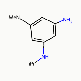 CNc1cc(N)cc(NC(C)C)c1